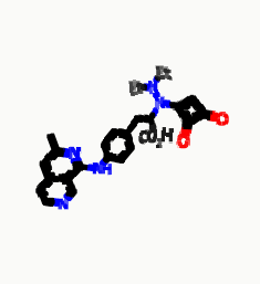 CCN(CC)N(c1cc(=O)c1=O)C(Cc1ccc(Nc2nc(C)cc3ccncc23)cc1)C(=O)O